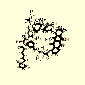 CO[C@H]1OCCN2[C@@H]1O[C@@H]1[C@H](C)O[C@@H](O[C@H]3C[C@](O)(C(C)=O)Cc4c(O)c5c(c(O)c43)C(=O)c3c(NC(=O)[C@H](C)NC(=O)OCc4ccc(N(C(=O)[C@@H](NC(=O)CCCCCN6C(=O)C=CC6=O)C(C)C)[C@@H](CCCNC(N)=O)C(N)=O)cc4)cccc3C5=O)C[C@@H]12